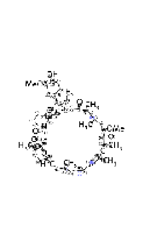 CO[C@@H]1C/C(C)=C/[C@@H](C)C(=O)C[C@@H]([C@H](C)C[C@@H]2CC[C@@H](O)[C@H](OC)C2)OC(=O)[C@@H]2CCCCN2C(=O)C(=O)[C@]2(O)O[C@H](CC/C(C)=C/C=C/C=C/[C@@H](C)C[C@@H](C)C1=O)CC[C@H]2C